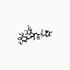 COC1=CC(=CC2=C(C)/C(=C\C(=O)NCc3ccccn3)c3cc(F)ccc32)C=C(OC)C1=O